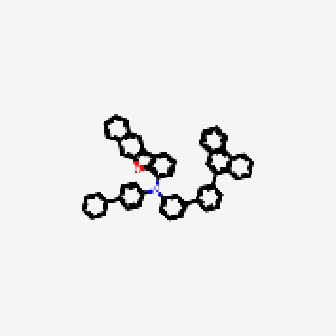 c1ccc(-c2ccc(N(c3cccc(-c4cccc(-c5cc6ccccc6c6ccccc56)c4)c3)c3cccc4c3oc3cc5ccccc5cc34)cc2)cc1